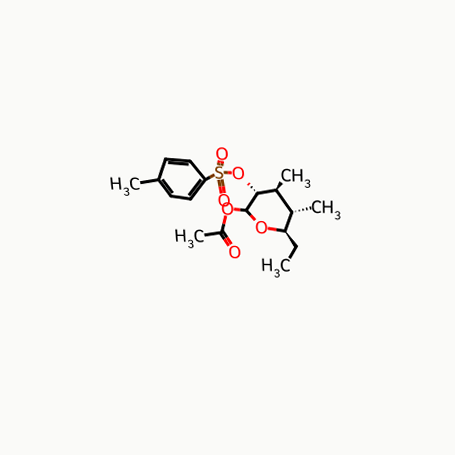 CC[C@H]1OC(OC(C)=O)[C@H](OS(=O)(=O)c2ccc(C)cc2)[C@@H](C)[C@@H]1C